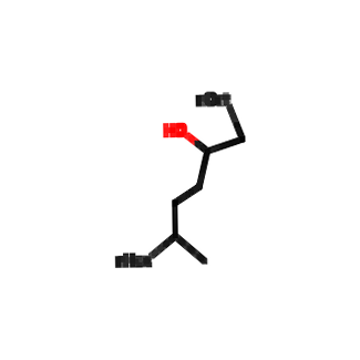 CCCCCCCCCC(O)CCC(C)CCCCCC